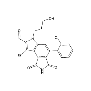 O=Cc1c(Br)c2c3c(c(-c4ccccc4Cl)cc2n1CCCO)C(=O)NC3=O